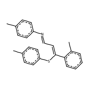 Cc1ccc(N=CC=C(Sc2ccc(C)cc2)c2ccccc2C)cc1